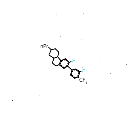 CCCC1CCC2c3cc(F)c(-c4ccc(C(F)(F)F)c(F)c4)cc3CCC2C1